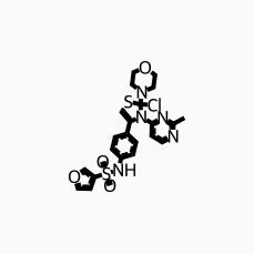 Cc1nccc(N2C(c3ccc(NS(=O)(=O)c4ccoc4)cc3)=CSC2(Cl)N2CCOCC2)n1